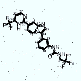 O=C(NCC(F)(F)F)Nc1cccc(-c2cnc3cc(C4=NC=CC(C(F)(F)F)N4)ccn23)c1